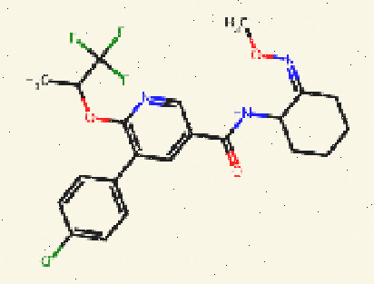 CO/N=C1/CCCCC1NC(=O)c1cnc(OC(C)C(F)(F)F)c(-c2ccc(Cl)cc2)c1